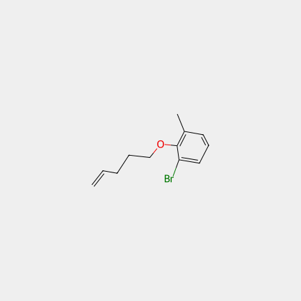 C=CCCCOc1c(C)cccc1Br